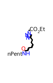 CCCCCNC(=O)/C=C/C=C\CCc1cn(CC(=O)OCC)nn1